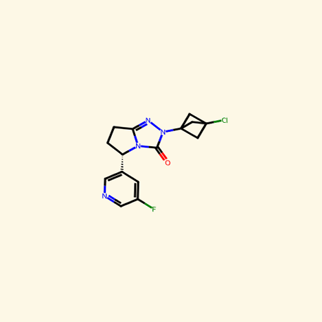 O=c1n(C23CC(Cl)(C2)C3)nc2n1[C@H](c1cncc(F)c1)CC2